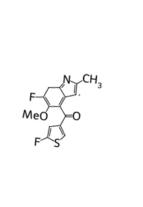 COC1=C(F)CC2=NC(C)=[C]C2=C1C(=O)c1csc(F)c1